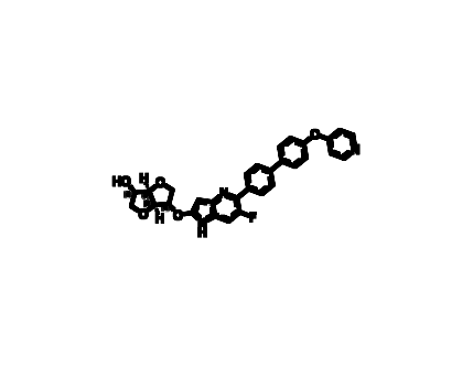 O[C@@H]1CO[C@H]2[C@@H]1OC[C@H]2Oc1cc2nc(-c3ccc(-c4ccc(Oc5ccncc5)cc4)cc3)c(F)cc2[nH]1